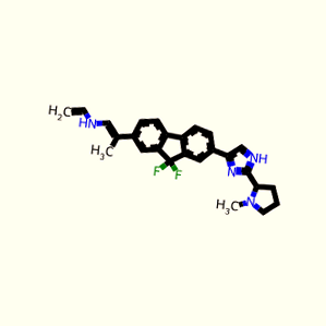 C=CN/C=C(\C)c1ccc2c(c1)C(F)(F)c1cc(-c3c[nH]c(C4CCCN4C)n3)ccc1-2